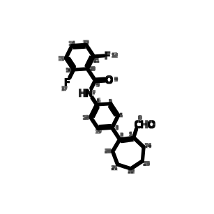 O=CC1=C(c2ccc(NC(=O)c3c(F)cccc3F)cc2)CCCCC1